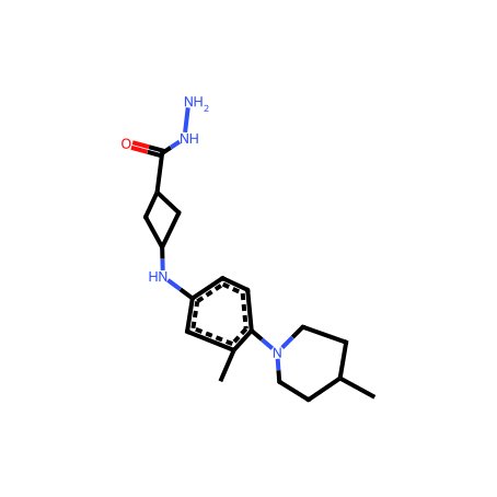 Cc1cc(NC2CC(C(=O)NN)C2)ccc1N1CCC(C)CC1